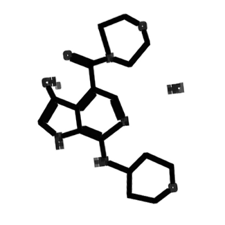 Cc1c[nH]c2c(NC3CCOCC3)ncc(C(=O)N3CCOCC3)c12.Cl